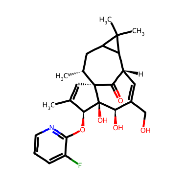 CC1=C[C@]23C(=O)[C@@H](C=C(CO)[C@@H](O)[C@]2(O)[C@H]1Oc1ncccc1F)C1C(C[C@H]3C)C1(C)C